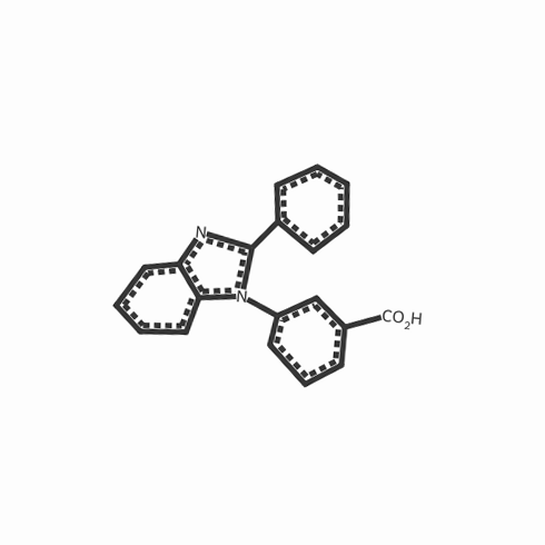 O=C(O)c1cccc(-n2c(-c3ccccc3)nc3ccccc32)c1